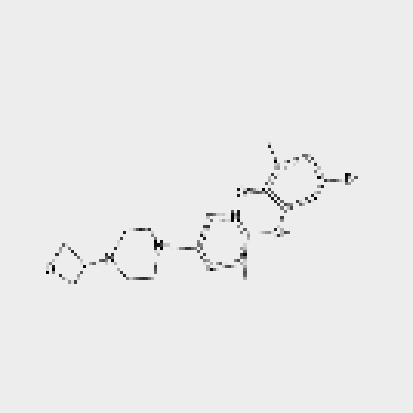 Cc1cc(N2CCN(C3COC3)CC2)cnc1Nc1cc(Br)cn(C)c1=O